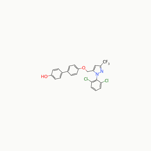 Oc1ccc(-c2ccc(OCc3cc(C(F)(F)F)nn3-c3c(Cl)cccc3Cl)cc2)cc1